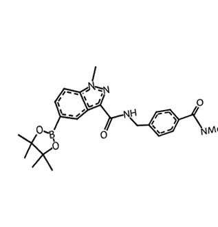 CNC(=O)c1ccc(CNC(=O)c2nn(C)c3ccc(B4OC(C)(C)C(C)(C)O4)cc23)cc1